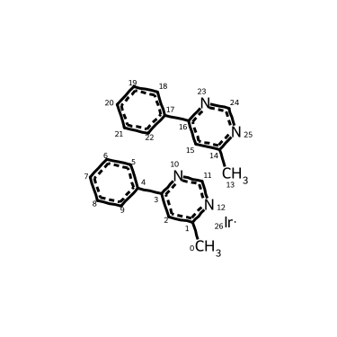 Cc1cc(-c2ccccc2)ncn1.Cc1cc(-c2ccccc2)ncn1.[Ir]